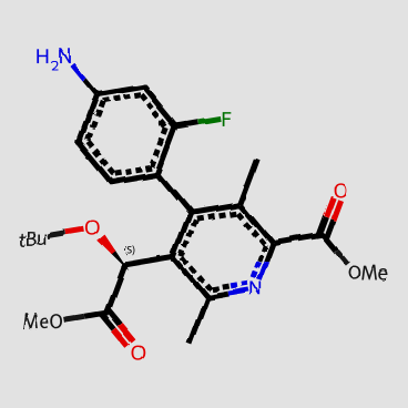 COC(=O)c1nc(C)c([C@H](OC(C)(C)C)C(=O)OC)c(-c2ccc(N)cc2F)c1C